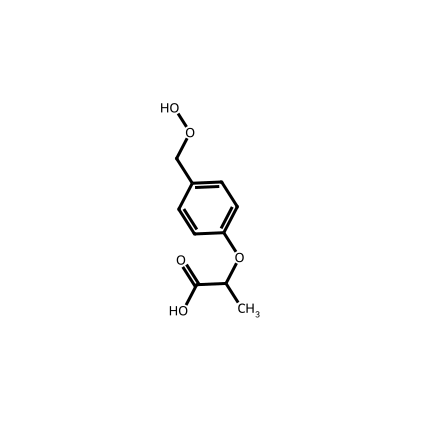 CC(Oc1ccc(COO)cc1)C(=O)O